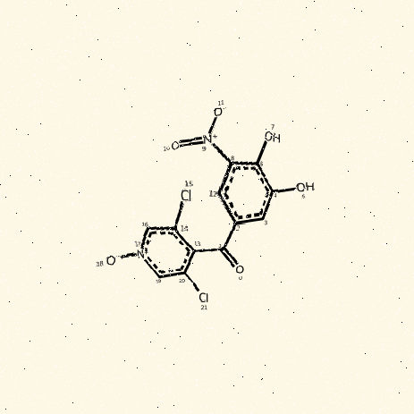 O=C(c1cc(O)c(O)c([N+](=O)[O-])c1)c1c(Cl)c[n+]([O-])cc1Cl